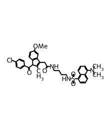 COc1ccc2c(c1)C(CC(=O)NCCCCNS(=O)(=O)c1cccc3c(N(C)C)cccc13)=C(C)C2C(=O)c1ccc(Cl)cc1